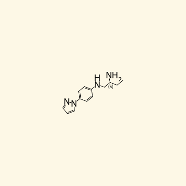 CC[C@H](N)CNc1ccc(-n2cccn2)cc1